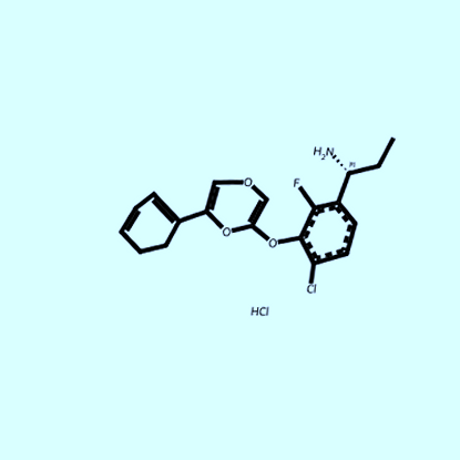 CC[C@@H](N)c1ccc(Cl)c(OC2=COC=C(C3=CC=CCC3)O2)c1F.Cl